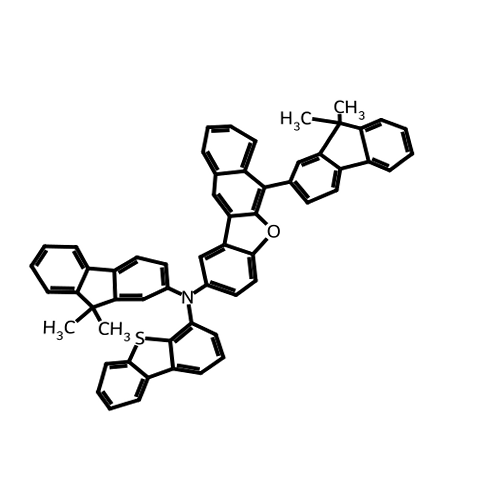 CC1(C)c2ccccc2-c2ccc(-c3c4ccccc4cc4c3oc3ccc(N(c5ccc6c(c5)C(C)(C)c5ccccc5-6)c5cccc6c5sc5ccccc56)cc34)cc21